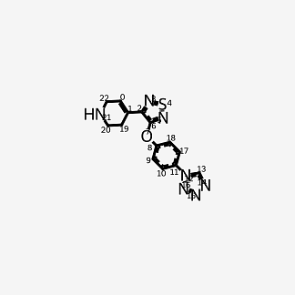 C1=C(c2nsnc2Oc2ccc(-n3cnnn3)cc2)CCNC1